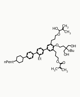 C=C(C)C(=O)OCCCc1cc(-c2ccc(-c3ccc(C4CCC(CCCCC)CC4)cc3)c(CC)c2)cc(CCCOC(O)C(=C)C)c1OCCC(CO)(CO)CCCC